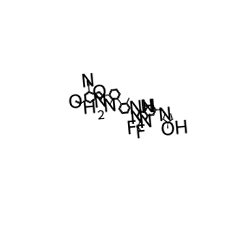 Cc1c(Nc2nc(C(F)F)nc3cc(CN4CC[C@@H](O)C4)cnc23)cccc1-c1cccc(-c2nc3cc(C=O)cc(C#N)c3o2)c1N